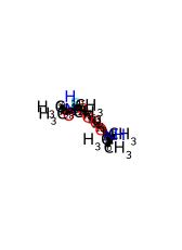 CCCC(C)(CC)NCCOCCOCCOCCOC(C)(C)C(F)CNC(=O)C(C)CC